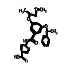 COCC(C)Oc1cc(O[C@@H](C)c2ccccc2)cc(C(=O)Nc2ccc(C(=O)O)cn2)c1